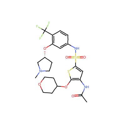 CC(=O)Nc1cc(S(=O)(=O)Nc2ccc(C(F)(F)F)c(O[C@@H]3CCN(C)C3)c2)sc1OC1CCOCC1